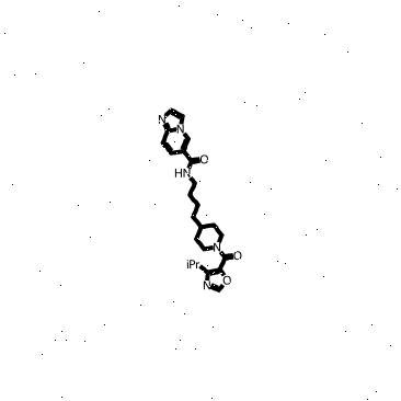 CC(C)c1ncoc1C(=O)N1CCC(CCCCNC(=O)c2ccc3nccn3c2)CC1